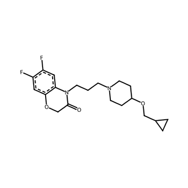 O=C1COc2cc(F)c(F)cc2N1CCCN1CCC(OCC2CC2)CC1